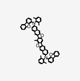 Cc1cccc(C)c1N(c1ccc2cc3c(cc2c1)oc1c(C)c2c(cc13)oc1cc3cc(N(c4c(C)cccc4C)c4cccc5c4oc4ccccc45)ccc3cc12)c1cccc2c1oc1ccccc12